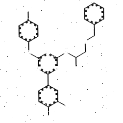 O=C(O)C(CSCc1ccccc1)Nc1nc(Nc2ccc(C(F)(F)F)cc2)nc(-c2ccc(Cl)c(Cl)c2)n1